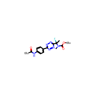 CN(C(=O)OC(C)(C)C)C(C)(F)c1nnc(-c2ccc(NC(=O)C(C)(C)C)cc2)nn1